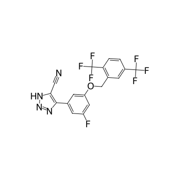 N#Cc1[nH]nnc1-c1cc(F)cc(OCc2cc(C(F)(F)F)ccc2C(F)(F)F)c1